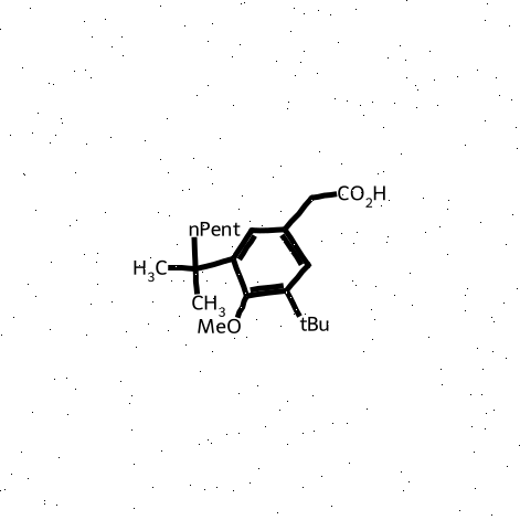 CCCCCC(C)(C)c1cc(CC(=O)O)cc(C(C)(C)C)c1OC